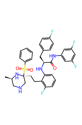 C[C@@H]1CNC[C@](CCc2c(F)cccc2N[C@@H](Cc2ccc(F)cc2)C(=O)Nc2cc(F)cc(F)c2)(S(=O)(=O)c2ccccc2)N1